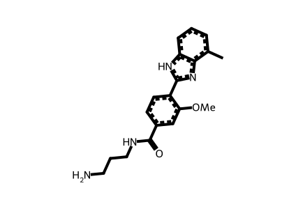 COc1cc(C(=O)NCCCN)ccc1-c1nc2c(C)cccc2[nH]1